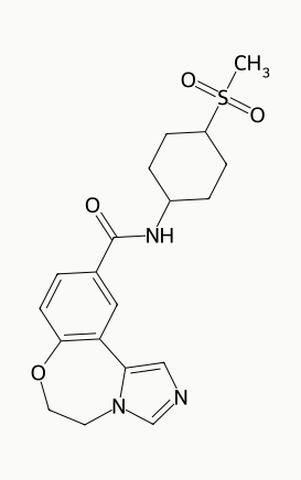 CS(=O)(=O)C1CCC(NC(=O)c2ccc3c(c2)-c2cncn2CCO3)CC1